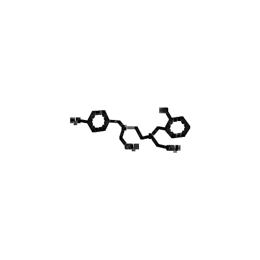 Nc1ccc(CN(CCN(CC(=O)O)Cc2ccccc2O)CC(=O)O)cc1